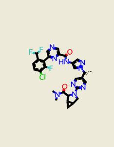 C[C@H](c1cnc(N2CC3CC3C2C(=O)N(C)C)nc1)n1cc(NC(=O)c2cncc(-c3c(C(F)F)ccc(Cl)c3F)n2)cn1